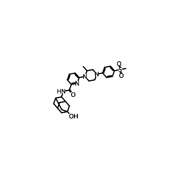 CC1CN(c2ccc(S(C)(=O)=O)cc2)CCN1c1cccc(C(=O)NC2C3CC4CC2CC(O)(C4)C3)n1